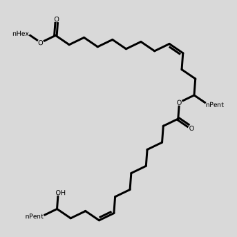 CCCCCCOC(=O)CCCCCCC/C=C\CCC(CCCCC)OC(=O)CCCCCCC/C=C\CCC(O)CCCCC